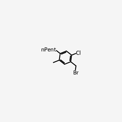 CCCCCc1cc(Cl)c(CBr)cc1C